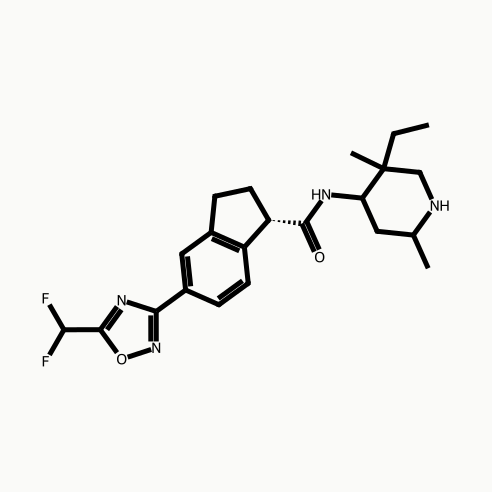 CCC1(C)CNC(C)CC1NC(=O)[C@H]1CCc2cc(-c3noc(C(F)F)n3)ccc21